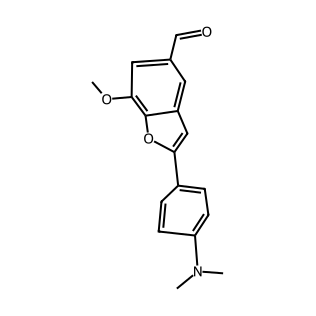 COc1cc(C=O)cc2cc(-c3ccc(N(C)C)cc3)oc12